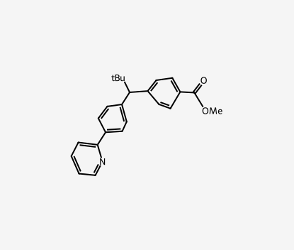 COC(=O)c1ccc(C(c2ccc(-c3ccccn3)cc2)C(C)(C)C)cc1